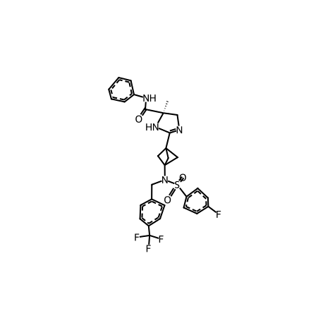 C[C@]1(C(=O)Nc2ccccc2)CN=C(C23CC(N(Cc4ccc(C(F)(F)F)cc4)S(=O)(=O)c4ccc(F)cc4)(C2)C3)N1